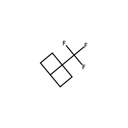 FC(F)(F)C12CCC1CC2